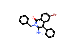 Nc1c(-c2ccccc2)c2cc(Br)ccc2c(=O)n1Cc1ccccc1